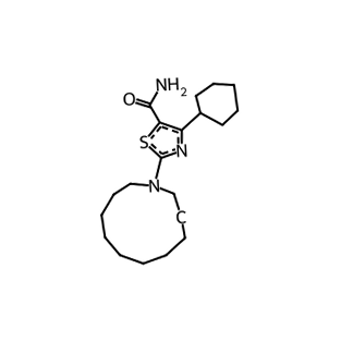 NC(=O)c1sc(N2CCCCCCCCCC2)nc1C1CCCCC1